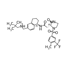 Cc1ccc(S(=O)(=O)N2CCNC(=O)[C@H]2CC(=O)N[C@@H]2CCCc3cc(CNCC(C)(C)C)ccc32)cc1C(F)(F)F